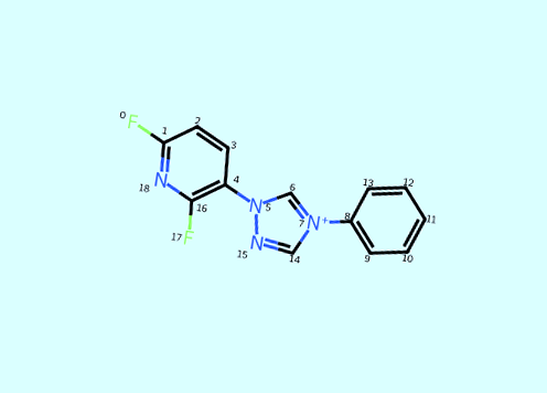 Fc1ccc(-n2c[n+](-c3ccccc3)cn2)c(F)n1